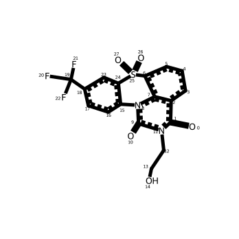 O=c1c2cccc3c2n(c(=O)n1CCO)-c1ccc(C(F)(F)F)cc1S3(=O)=O